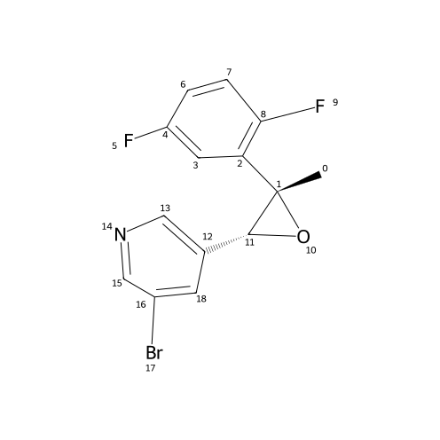 C[C@@]1(c2cc(F)ccc2F)O[C@@H]1c1cncc(Br)c1